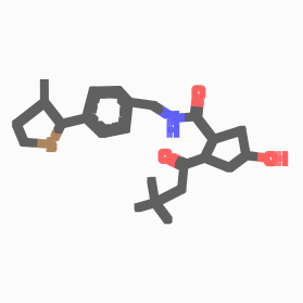 CC1CCSC1c1ccc(CNC(=O)C2CC(O)CC2C(=O)CC(C)(C)C)cc1